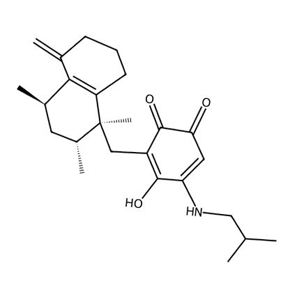 C=C1CCCC2=C1[C@H](C)C[C@@H](C)[C@]2(C)CC1=C(O)C(NCC(C)C)=CC(=O)C1=O